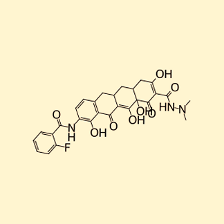 CN(C)NC(=O)C1=C(O)CC2CC3Cc4ccc(NC(=O)c5ccccc5F)c(O)c4C(=O)C3=C(O)C2(O)C1=O